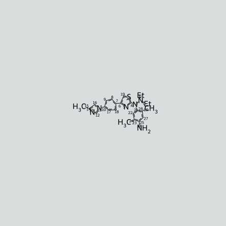 CCN(CC)N(c1nc(-c2ccc(-n3cnc(C)c3)cc2)cs1)c1cc(C)c(N)cc1C